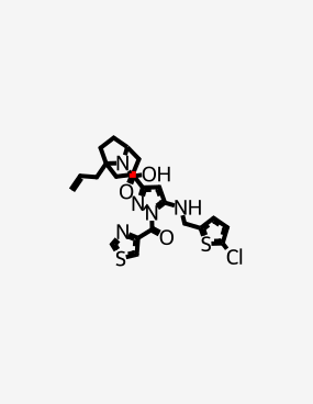 C=CCC12CCC(CC(c3cc(NCc4ccc(Cl)s4)n(C(=O)c4cscn4)n3)C1)N2C(=O)O